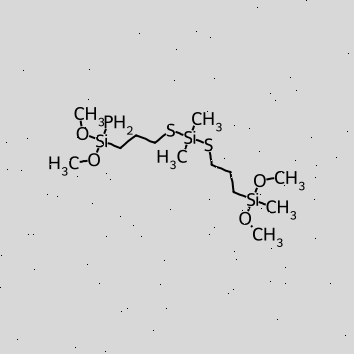 CO[Si](C)(CCCS[Si](C)(C)SCCC[Si](P)(OC)OC)OC